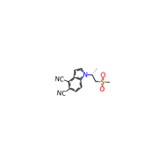 C[C@H](CS(C)(=O)=O)n1ccc2c(C#N)c(C#N)ccc21